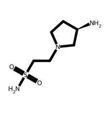 N[C@@H]1CCN(CCS(N)(=O)=O)C1